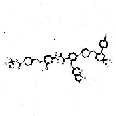 CC1(C)CCC(CN2CCN(c3ccc(C(=O)NS(=O)(=O)c4ccc(OCC5CCN(C(=O)OC(C)(C)C)CC5)c(Cl)c4)c(Oc4cnc5[nH]ccc5c4)c3)CC2)=C(c2ccc(Cl)cc2)C1